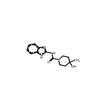 CC1(O)CCN(C(=O)Nc2nc3ccccc3[nH]2)CC1